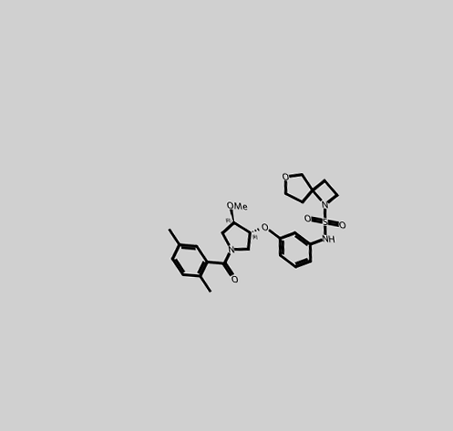 CO[C@@H]1CN(C(=O)c2cc(C)ccc2C)C[C@H]1Oc1cccc(NS(=O)(=O)N2CCC23CCOC3)c1